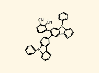 N#Cc1cccc(-c2cc3c(cc2-c2ccc4c(c2)c2ccccc2n4-c2ccccc2)c2ccccc2n3-c2ccccc2)c1C#N